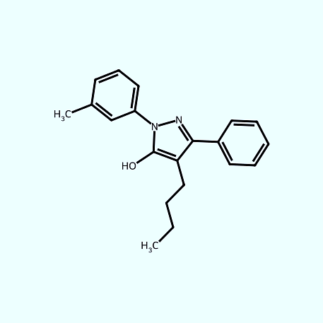 CCCCc1c(-c2ccccc2)nn(-c2cccc(C)c2)c1O